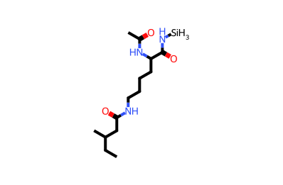 CCC(C)CC(=O)NCCCCC(NC(C)=O)C(=O)N[SiH3]